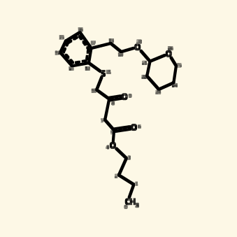 CCCCOC(=O)CC(=O)CSc1ccccc1CCOC1CCCCO1